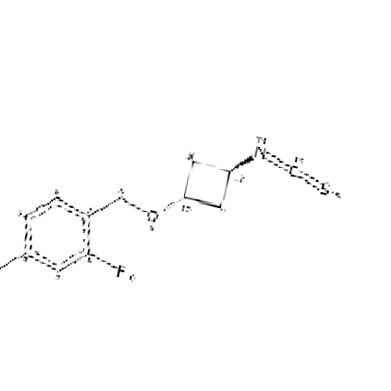 Fc1cc(Br)ccc1CO[C@H]1C[C@H](N=C=S)C1